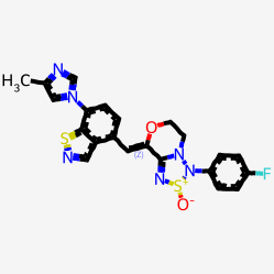 Cc1cn(-c2ccc(/C=C3\OCCN4C3=N[S+]([O-])N4c3ccc(F)cc3)c3cnsc23)cn1